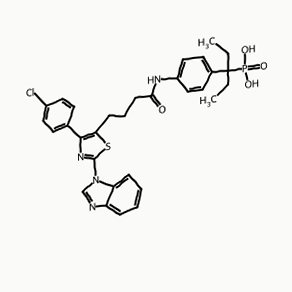 CCC(CC)(c1ccc(NC(=O)CCCc2sc(-n3cnc4ccccc43)nc2-c2ccc(Cl)cc2)cc1)P(=O)(O)O